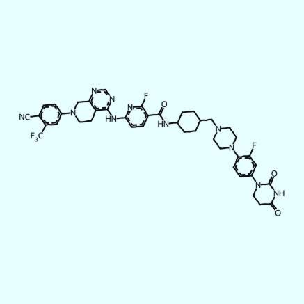 N#Cc1ccc(N2CCc3c(ncnc3Nc3ccc(C(=O)NC4CCC(CN5CCN(c6ccc(N7CCC(=O)NC7=O)cc6F)CC5)CC4)c(F)n3)C2)cc1C(F)(F)F